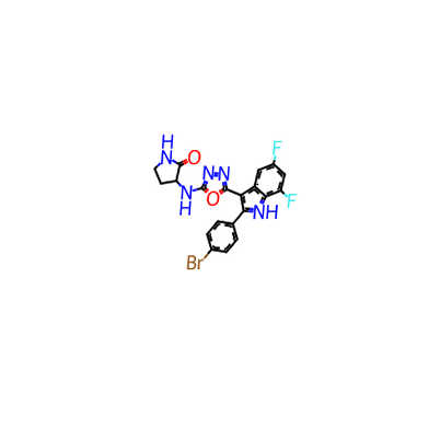 O=C1NCCC1Nc1nnc(-c2c(-c3ccc(Br)cc3)[nH]c3c(F)cc(F)cc23)o1